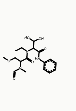 CCN(C(=O)C(COC)N(C)[C]=O)C(C(=O)Nc1ccccc1)C(O)O